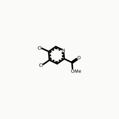 COC(=O)c1cc(Cl)c(Cl)cn1